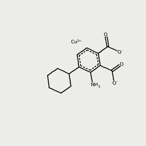 Nc1c(C2CCCCC2)ccc(C(=O)[O-])c1C(=O)[O-].[Cu+2]